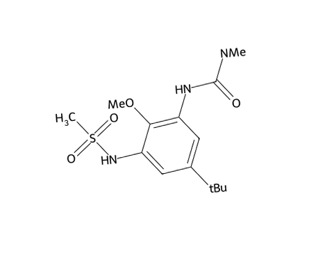 CNC(=O)Nc1cc(C(C)(C)C)cc(NS(C)(=O)=O)c1OC